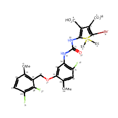 CCS1(CC)C(Br)=C(C(=O)O)C(C(=O)O)=C1NC(=O)Nc1cc(OCc2c(OC)ccc(F)c2F)c(OC)cc1F